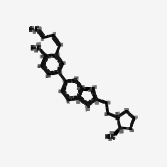 C=C/C=C\c1cc(-c2ccc3nc(CCN4CCC[C@H]4C)cn3c2)ccc1C